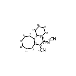 N#C/N=C(/C(C#N)C1CCCCCCC1)N1CCCCC1